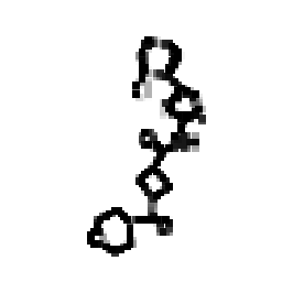 O=C(Nc1nc(-c2ccccc2Cl)cs1)C1CC(C(=O)C2CCOCC2)C1